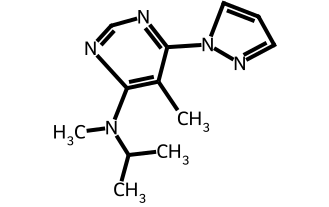 Cc1c(N(C)C(C)C)ncnc1-n1cccn1